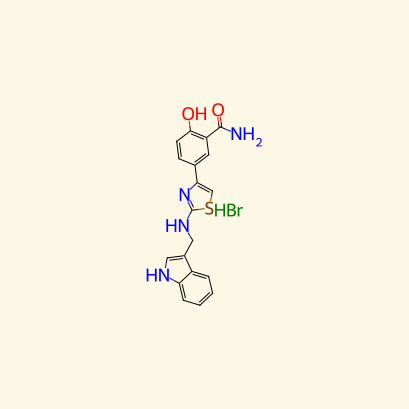 Br.NC(=O)c1cc(-c2csc(NCc3c[nH]c4ccccc34)n2)ccc1O